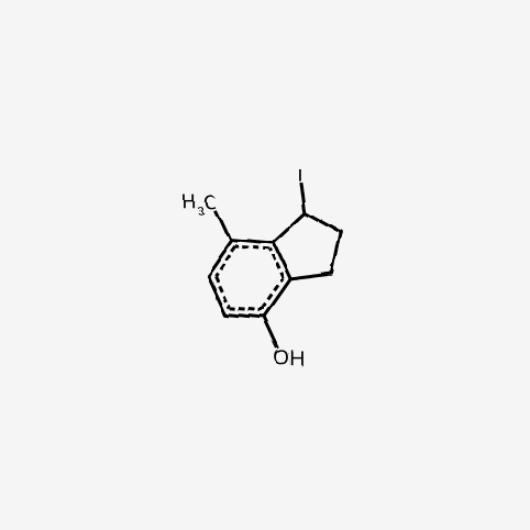 Cc1ccc(O)c2c1C(I)CC2